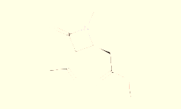 COC(=O)C[C@H]1[C@H](C(C)=O)C(=O)N1C